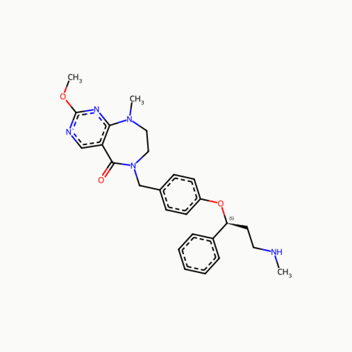 CNCC[C@H](Oc1ccc(CN2CCN(C)c3nc(OC)ncc3C2=O)cc1)c1ccccc1